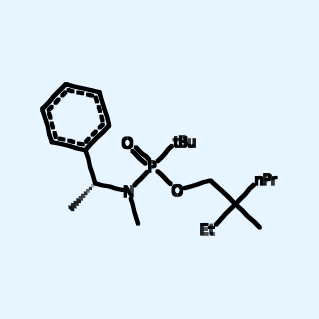 CCCC(C)(CC)COP(=O)(N(C)[C@H](C)c1ccccc1)C(C)(C)C